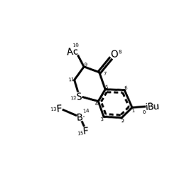 CCC(C)c1ccc2c(c1)C(=O)C(C(C)=O)CS2.F[B]F